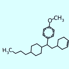 CCCCC1CCC(C(CC2CC=CCC2)c2ccc(OC)cc2)CC1